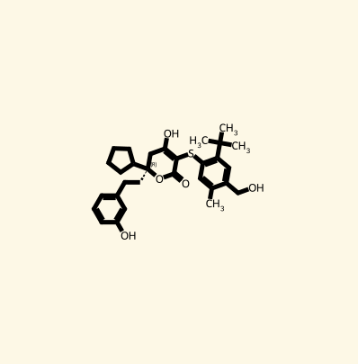 Cc1cc(SC2=C(O)C[C@](CCc3cccc(O)c3)(C3CCCC3)OC2=O)c(C(C)(C)C)cc1CO